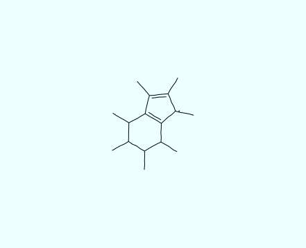 C[C]1C(C)=C(C)C2=C1C(C)C(C)C(C)C2C